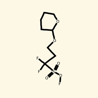 O=S(=O)(OF)C(F)(F)CCOC1CCCCO1